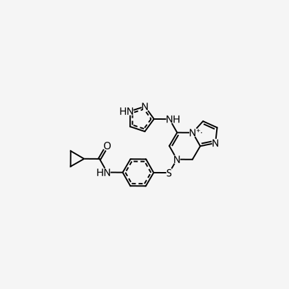 O=C(Nc1ccc(SN2C=C(Nc3cc[nH]n3)[N+]3C=CN=C3C2)cc1)C1CC1